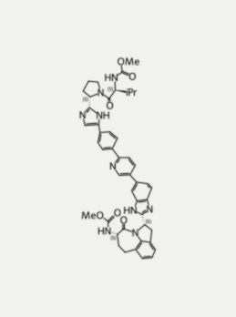 COC(=O)N[C@H]1CCc2cccc3c2N(C1=O)[C@H](c1nc2ccc(-c4ccc(-c5ccc(-c6cnc([C@@H]7CCCN7C(=O)[C@@H](NC(=O)OC)C(C)C)[nH]6)cc5)nc4)cc2[nH]1)C3